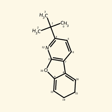 CC(C)(C)c1ccc2c3c(oc2n1)=CCCC=3